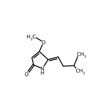 COC1=CC(=O)NC1=CCC(C)C